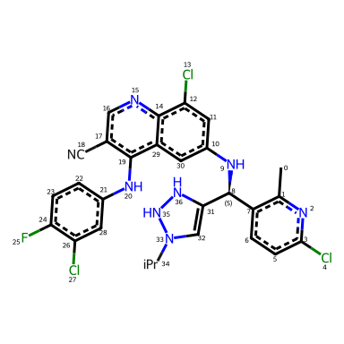 Cc1nc(Cl)ccc1[C@H](Nc1cc(Cl)c2ncc(C#N)c(Nc3ccc(F)c(Cl)c3)c2c1)C1=CN(C(C)C)NN1